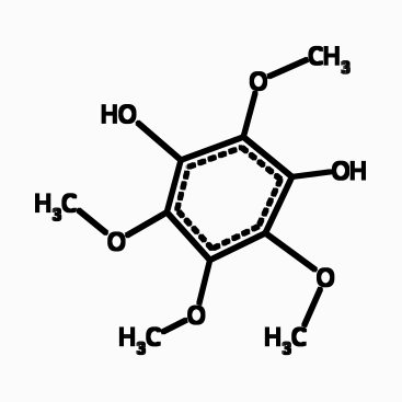 COc1c(O)c(OC)c(OC)c(OC)c1O